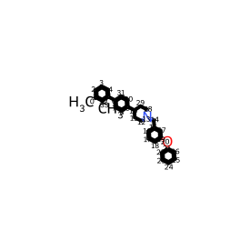 Cc1cccc(-c2ccc(C3CCN(Cc4cccc(Oc5ccccc5)c4)CC3)cc2)c1C